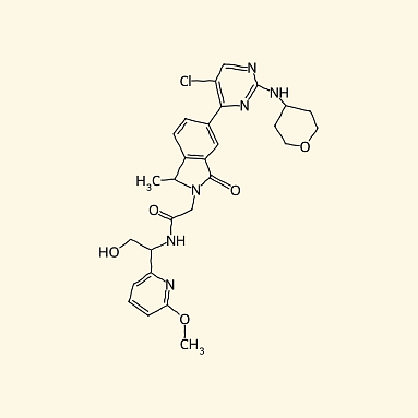 COc1cccc(C(CO)NC(=O)CN2C(=O)c3cc(-c4nc(NC5CCOCC5)ncc4Cl)ccc3C2C)n1